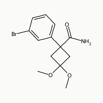 COC1(OC)CC(C(N)=O)(c2cccc(Br)c2)C1